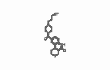 CC(C)CCCN1CCN(C(=O)c2ccc3[nH]c(=O)c4c(c3c2)CCSC4)CC1